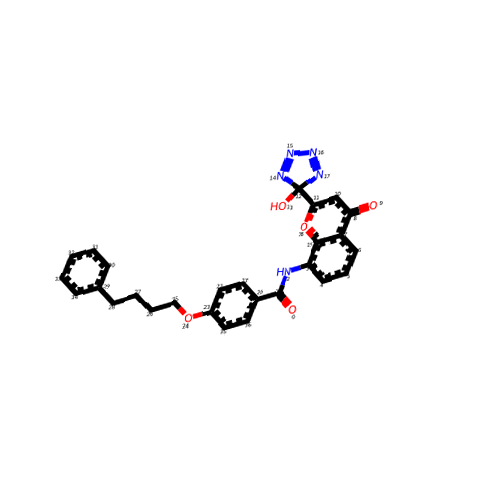 O=C(Nc1cccc2c(=O)cc(C3(O)N=NN=N3)oc12)c1ccc(OCCCCc2ccccc2)cc1